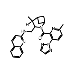 Cc1ccc(-n2nccn2)c(C(=O)N2C3CC(C3)[C@@H](C)C2CNc2ccc3ccccc3n2)n1